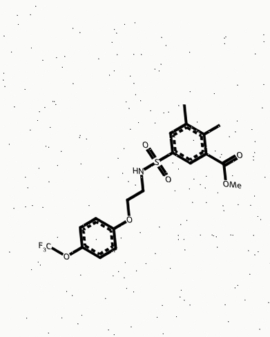 COC(=O)c1cc(S(=O)(=O)NCCOc2ccc(OC(F)(F)F)cc2)cc(C)c1C